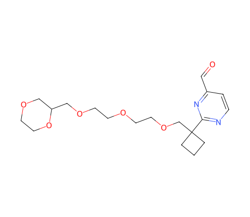 O=Cc1ccnc(C2(COCCOCCOCC3COCCO3)CCC2)n1